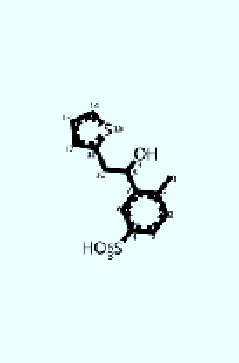 Cc1ccc(S(=O)(=O)O)cc1C(O)Cc1cccs1